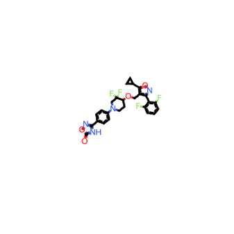 O=c1[nH]c(-c2ccc(N3CCC(OCc4c(-c5c(F)cccc5F)noc4C4CC4)C(F)(F)C3)cc2)no1